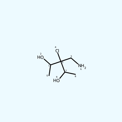 CC(O)C(Cl)(CN)C(C)O